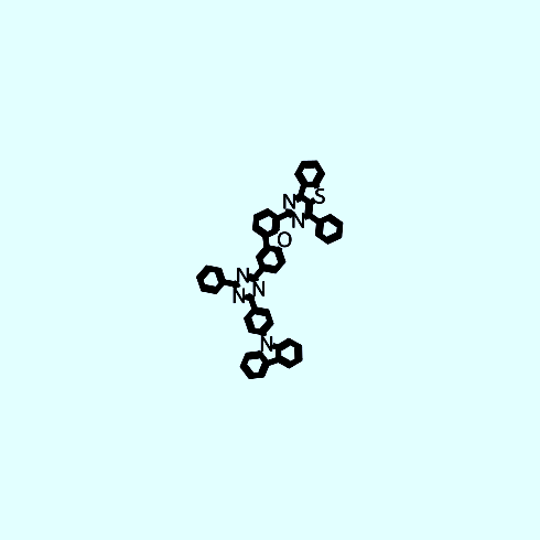 c1ccc(-c2nc(-c3ccc(-n4c5ccccc5c5ccccc54)cc3)nc(-c3ccc4oc5c(-c6nc(-c7ccccc7)c7sc8ccccc8c7n6)cccc5c4c3)n2)cc1